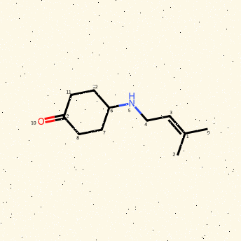 CC(C)=CCNC1CCC(=O)CC1